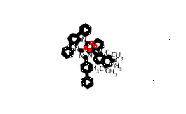 CC1CC(C)(C)c2ccc(-c3ccc(-n4c5ccccc5c5ccc6c7ccccc7n(-c7nc(-c8ccccc8)nc(-c8ccc(-c9ccccc9)cc8)n7)c6c54)cc3)cc2C1(C)C